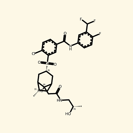 C[C@H](O)CNC(=O)C[C@@]1(O)C2C[C@@H](S(=O)(=O)c3cc(C(=O)Nc4ccc(F)c(C(F)F)c4)ccc3Cl)CC1[C@@H](C)C2